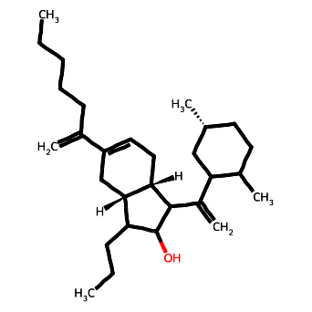 C=C(CCCCC)C1=CC[C@@H]2C(C(=C)C3C[C@H](C)CCC3C)C(O)C(CCC)[C@@H]2C1